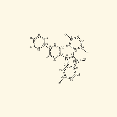 Cc1ccc(C)c(-c2n(-c3ccc(-c4ccccc4)cc3)c3cc(C)ccc3[n+]2C)c1